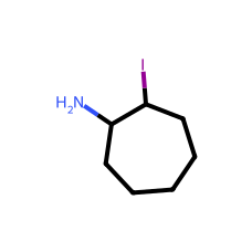 NC1CCCCCC1I